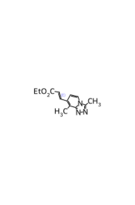 CCOC(=O)/C=C/c1ccn2c(C)nnc2c1C